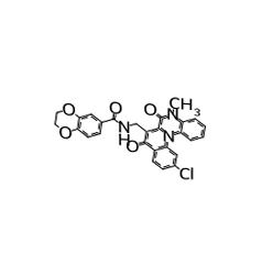 Cn1c(=O)c2c(CNC(=O)c3ccc4c(c3)OCCO4)c(=O)c3ccc(Cl)cc3n2c2ccccc21